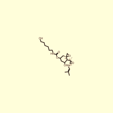 COC1CC(OC(=O)NCCCCCCO)C[C@]2(CO2)C1[C@@]1(C)O[C@@H]1CC=C(C)C